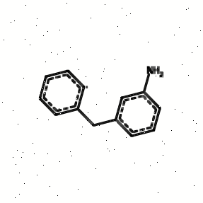 Nc1cccc(Cc2[c]cccc2)c1